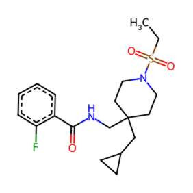 CCS(=O)(=O)N1CCC(CNC(=O)c2ccccc2F)(CC2CC2)CC1